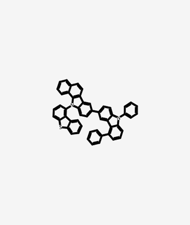 c1ccc(-c2cccc3c2c2cc(-c4ccc5c(c4)c4ccc6ccccc6c4n5-c4cccc5sc6ccccc6c45)ccc2n3-c2ccccc2)cc1